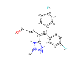 Cn1nnc(C(C=CC=O)=C(c2ccc(F)cc2)c2ccc(F)cc2)n1